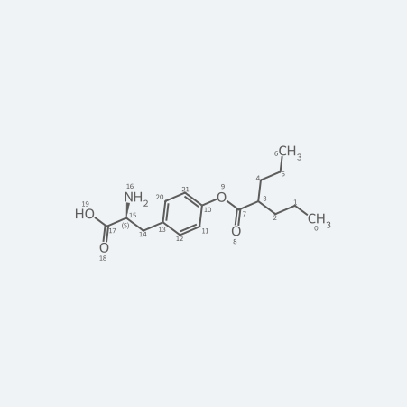 CCCC(CCC)C(=O)Oc1ccc(C[C@H](N)C(=O)O)cc1